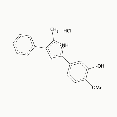 COc1ccc(-c2nc(-c3ccccc3)c(C)[nH]2)cc1O.Cl